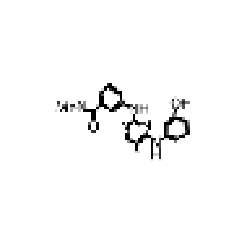 CNC(=O)c1cccc(Nc2ncc(F)c(Nc3cccc(O)c3)n2)c1